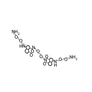 CN(CCOCCOCCN1C(=O)c2cccc3c(NCCOCCOCCN)ccc(c23)C1=O)C(=O)c1ccc(NCCOCCOCCN)c2cccc(C=O)c12